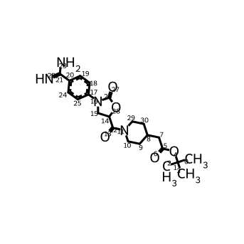 CC(C)(C)OC(=O)CC1CCN(C(=O)C2CN(c3ccc(C(=N)N)cc3)C(=O)O2)CC1